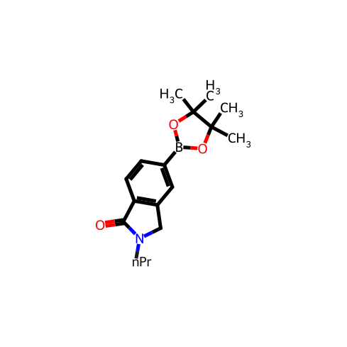 CCCN1Cc2cc(B3OC(C)(C)C(C)(C)O3)ccc2C1=O